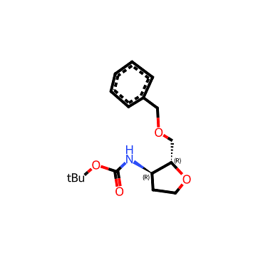 CC(C)(C)OC(=O)N[C@@H]1CCO[C@H]1COCc1ccccc1